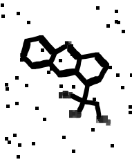 CCCCC(O)(CN)c1cccc2nc3ccccc3cc12